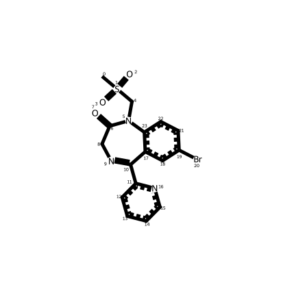 CS(=O)(=O)CN1C(=O)CN=C(c2ccccn2)c2cc(Br)ccc21